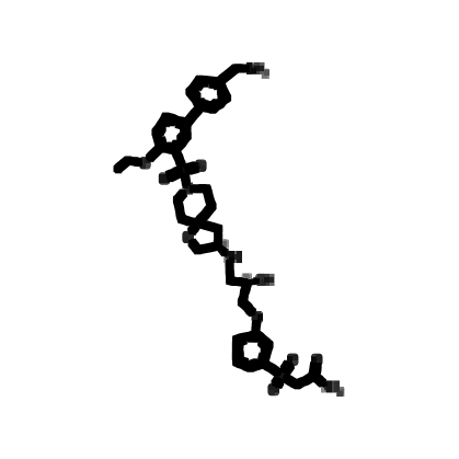 CCOc1ccc(-c2ccc(CN)cc2)cc1S(=O)(=O)N1CCC2(CC1)C[C@@H](NC[C@H](O)COc1cccc(S(=O)(=O)CC(N)=O)c1)CO2